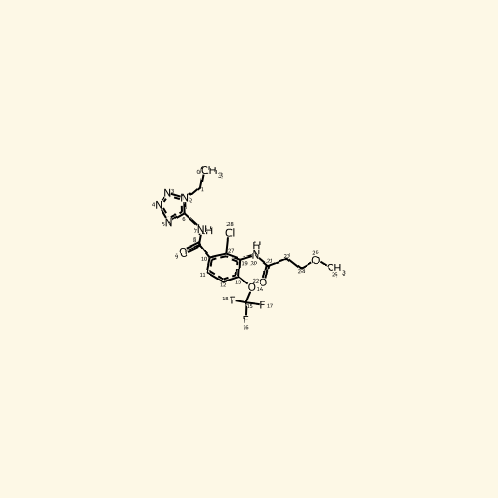 CCn1nnnc1NC(=O)c1ccc(OC(F)(F)F)c(NC(=O)CCOC)c1Cl